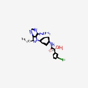 Cc1nn(-c2ccc(NC(=O)[C@H](O)c3cccc(F)c3)cc2)c2c(N)ncnc12